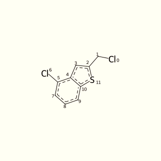 ClCc1cc2c(Cl)cccc2s1